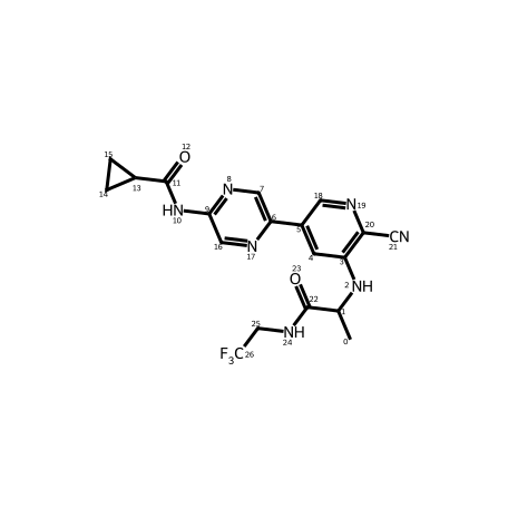 CC(Nc1cc(-c2cnc(NC(=O)C3CC3)cn2)cnc1C#N)C(=O)NCC(F)(F)F